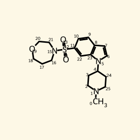 CN1CCC(n2ccc3ccc(S(=O)(=O)N4CCCOCC4)cc32)CC1